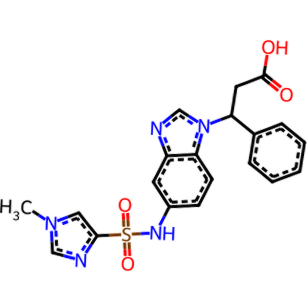 Cn1cnc(S(=O)(=O)Nc2ccc3c(c2)ncn3C(CC(=O)O)c2ccccc2)c1